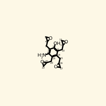 Nc1c(CC2CO2)c(O)c(CC2CO2)c(CC2CO2)c1CC1CO1